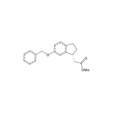 COC(=O)C[C@H]1CCc2ccc(OCc3ccccc3)cc21